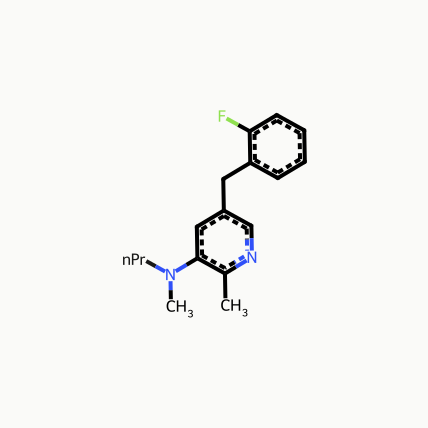 CCCN(C)c1cc(Cc2ccccc2F)cnc1C